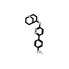 Cc1ccc(-c2ccc(OC3CCN4CCCC3C4)nn2)cc1